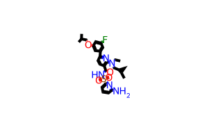 CCN(CC1CC1C)c1nc(-c2cc(F)cc(OCC(C)C)c2)ccc1C(=O)NS(=O)(=O)c1cccc(N)n1